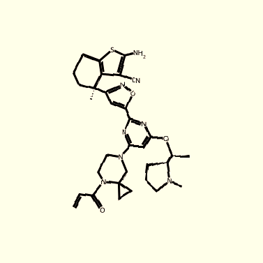 C=CC(=O)N1CCN(c2cc(O[C@@H](C)[C@@H]3CCCN3C)nc(-c3cc([C@@]4(C)CCCc5sc(N)c(C#N)c54)no3)n2)CC12CC2